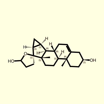 C[C@]12CC[C@H](O)CC1=CC[C@H]1[C@@H]3[C@@H]4C[C@@H]4[C@@]4(CCC(O)O4)[C@@]3(C)CC[C@@H]12